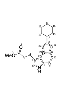 COC(=O)CCc1c[nH]c2ncc3nc(C4CCCCC4)cn3c12